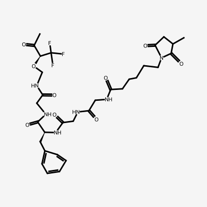 CC(=O)[C@H](OCNC(=O)CNC(=O)[C@H](Cc1ccccc1)NC(=O)CNC(=O)CNC(=O)CCCCCN1C(=O)CC(C)C1=O)C(F)(F)F